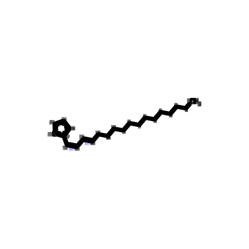 CCCCCCCCCCCCC/C=C/C=C\c1ccco1